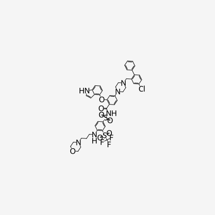 O=C(NS(=O)(=O)c1ccc(NCCCN2CCOCC2)c(S(=O)(=O)C(F)(F)F)c1)c1ccc(N2CCN(Cc3cc(Cl)ccc3-c3ccccc3)CC2)cc1Oc1cccc2[nH]ccc12